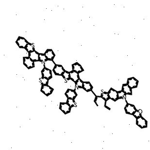 C=Cc1c(/C(=C\C)c2ccc3c4c5ccccc5c5c6cc(-c7cccc8c9c%10sc%11ccccc%11c%10c%10ccccc%10c9n(-c9ccc%10c(c9)sc9ccccc9%10)c78)ccc6sc5c4n(-c4ccc5c(c4)sc4ccccc45)c3c2)sc2cc3c4cc5ccccc5cc4n(-c4ccc5c(c4)oc4ccccc45)c3cc12